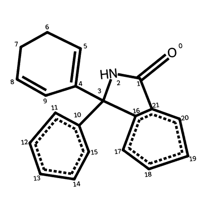 O=C1NC(C2=CCCC=C2)(c2ccccc2)c2ccccc21